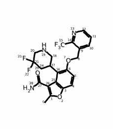 Cc1oc2ccc(OCc3cccnc3C(F)(F)F)c(C3CNCC(F)(F)C3)c2c1C(N)=O